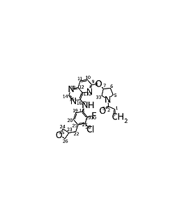 C=CC(=O)N1CC[C@H](Oc2ccc3ncnc(Nc4ccc(CC5COC5)c(Cl)c4F)c3n2)C1